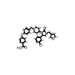 O=C(O)c1ccc(Oc2ccc(CN3CCC(N4C(=O)N(CC5CCOC5)CC4c4cccc(Cl)c4)CC3)cn2)cc1